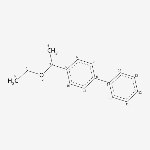 CCOC(C)c1ccc(-c2ccccc2)cc1